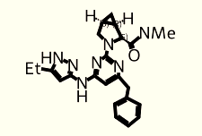 CCc1cc(Nc2cc(Cc3ccccc3)nc(N3C[C@H]4C[C@H]4[C@H]3C(=O)NC)n2)n[nH]1